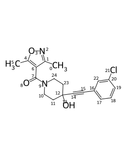 Cc1noc(C)c1C(=O)N1CCC(O)(C#Cc2cccc(Cl)c2)CC1